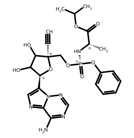 C#C[C@]1(CO[P@@](=O)(N[C@@H](C)C(=O)OC(C)C)Oc2ccccc2)O[C@@H](c2cnc3c(N)ncnn23)C(O)C1O